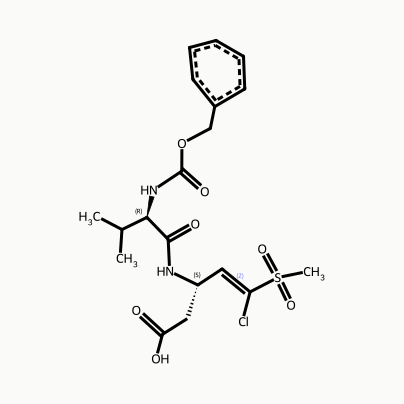 CC(C)[C@@H](NC(=O)OCc1ccccc1)C(=O)N[C@H](/C=C(\Cl)S(C)(=O)=O)CC(=O)O